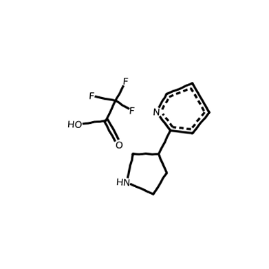 O=C(O)C(F)(F)F.c1ccc(C2CCNC2)nc1